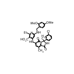 CCc1nc(NCc2ccc(OC)cc2OC)cc(Nc2cc(C)c3n(c2=O)C(C)(c2cccc(Cl)c2)NC3=O)c1C(=O)O